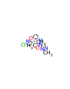 Cc1nsc(NC(=O)C(C)(C)[C@H]2c3ccccc3Oc3nc(Cl)ccc32)n1